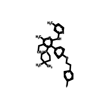 Cc1ccnc(Nc2nc(C)c(CC(=O)O)c(N3CCC(C)(C)CC3)c2-c2ccc(OCCc3ccc(F)cc3)cc2)c1